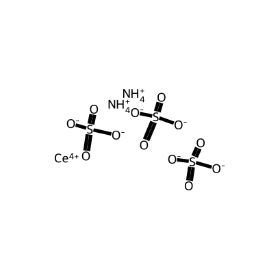 O=S(=O)([O-])[O-].O=S(=O)([O-])[O-].O=S(=O)([O-])[O-].[Ce+4].[NH4+].[NH4+]